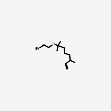 C=CC(C)CCCC(C)(C)OCCC(C)C